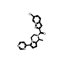 CC1c2ccc(-c3ccncn3)n2CCN1C(=O)c1cc2ccc(Cl)cn2n1